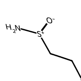 N[S+]([O-])CCBr